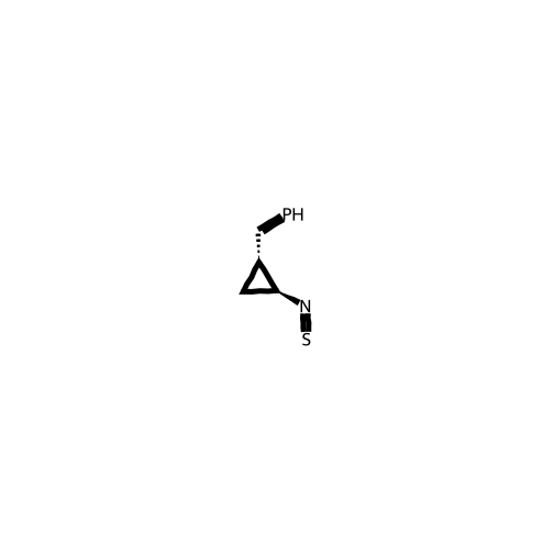 P=C[C@H]1C[C@@H]1N=S